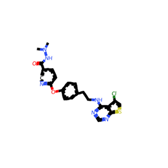 CN(C)NC(=O)c1ccc(Oc2ccc(CCNc3ncnc4scc(Cl)c34)cc2)nc1